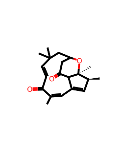 C/C1=C/C2=C[C@H](C)[C@]3(C)OC(CC(=O)C23)CC(C)(C)/C=C/C1=O